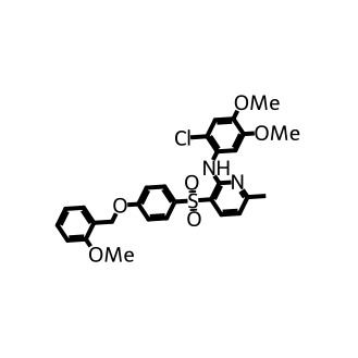 COc1ccccc1COc1ccc(S(=O)(=O)c2ccc(C)nc2Nc2cc(OC)c(OC)cc2Cl)cc1